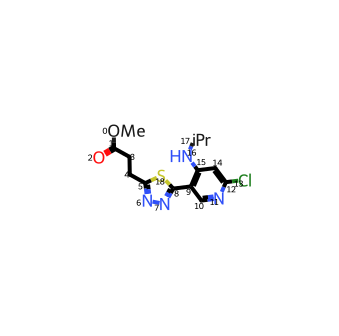 COC(=O)CCc1nnc(-c2cnc(Cl)cc2NC(C)C)s1